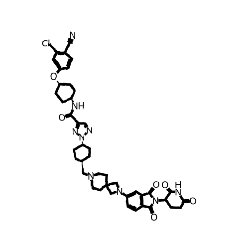 N#Cc1ccc(O[C@H]2CC[C@H](NC(=O)c3cnn([C@H]4CC[C@H](CN5CCC6(CC5)CN(c5ccc7c(c5)C(=O)N(C5CCC(=O)NC5=O)C7=O)C6)CC4)n3)CC2)cc1Cl